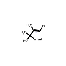 CC/C=C(\C)C(C)(O)CCCCC